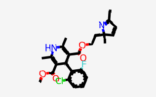 COC(=O)C1=C(C)NC(C)=C(C(=O)OCCC2(C)C=CC(C)=N2)C1c1c(F)cccc1Cl